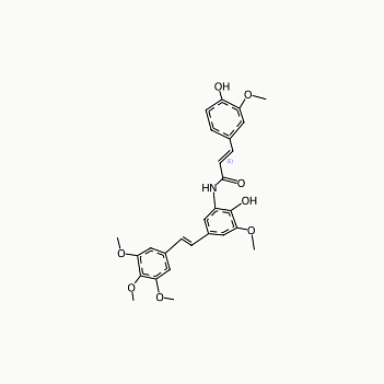 COc1cc(/C=C/C(=O)Nc2cc(C=Cc3cc(OC)c(OC)c(OC)c3)cc(OC)c2O)ccc1O